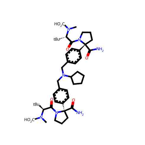 CN(C(=O)O)[C@H](C(=O)N1CCC[C@@]1(C(N)=O)c1ccc(CN(Cc2ccc([C@]3(C(N)=O)CCCN3C(=O)[C@@H](N(C)C(=O)O)C(C)(C)C)cc2)C2CCCC2)cc1)C(C)(C)C